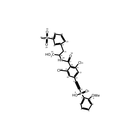 COc1ccccc1P(=O)(O)C#Cc1cc(Cl)c(C(=O)NC(Cc2cccc(S(C)(=O)=O)c2)C(=O)O)c(Cl)c1